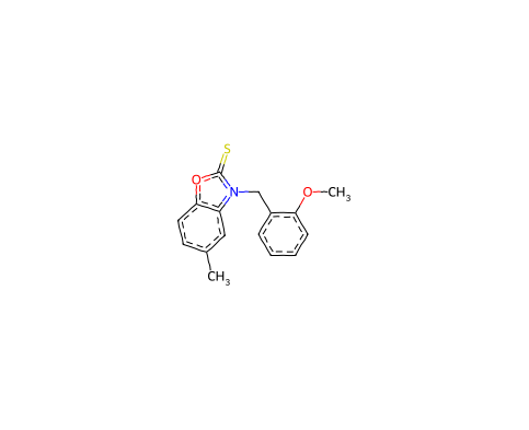 COc1ccccc1Cn1c(=S)oc2ccc(C)cc21